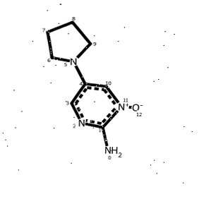 Nc1ncc(N2CCCC2)c[n+]1[O-]